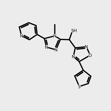 Cn1c(-c2cccnc2)nnc1C(S)c1noc(-c2ccsc2)n1